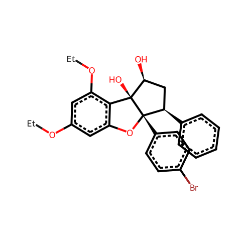 CCOc1cc(OCC)c2c(c1)O[C@@]1(c3ccc(Br)cc3)[C@H](c3ccccc3)C[C@H](O)[C@@]21O